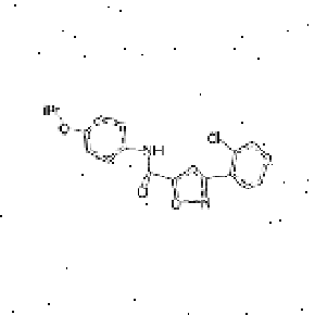 CC(C)Oc1ccc(NC(=O)c2cc(-c3ccccc3Cl)no2)cc1